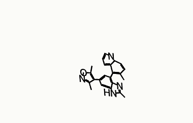 Cc1nc2c(-c3c(C)ccc4ncccc34)cc(-c3c(C)noc3C)cc2[nH]1